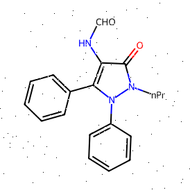 CCCn1c(=O)c(NC=O)c(-c2ccccc2)n1-c1ccccc1